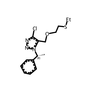 CCSCCOCc1c(Cl)nnn1[C@H](C)c1ccccc1